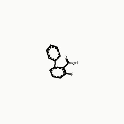 O=C(O)c1c(F)cccc1-c1ccccc1